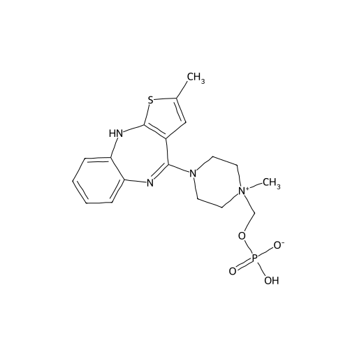 Cc1cc2c(s1)Nc1ccccc1N=C2N1CC[N+](C)(COP(=O)([O-])O)CC1